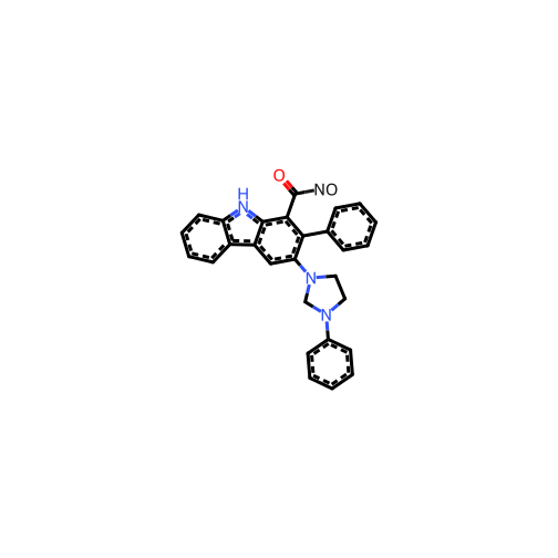 O=NC(=O)c1c(-c2ccccc2)c(N2CCN(c3ccccc3)C2)cc2c1[nH]c1ccccc12